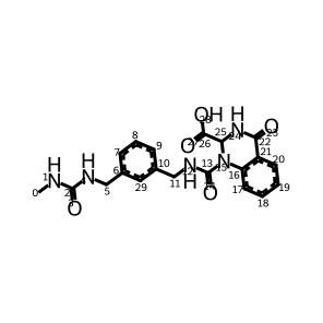 CNC(=O)NCc1cccc(CNC(=O)N2c3ccccc3C(=O)NC2C(=O)O)c1